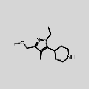 CCn1nc(COC)c(C)c1C1CCNCC1